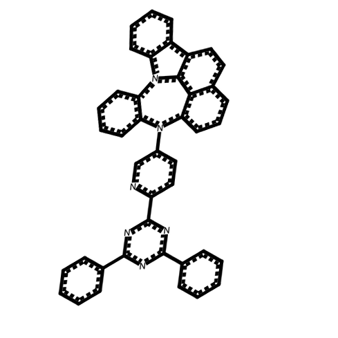 c1ccc(-c2nc(-c3ccccc3)nc(-c3ccc(-n4c5cccc6ccc7c8ccccc8n(c8ccccc84)c7c65)cn3)n2)cc1